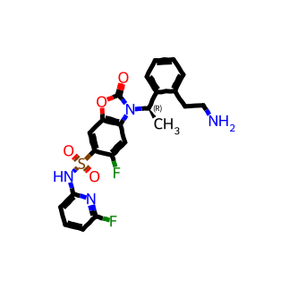 C[C@H](c1ccccc1CCN)n1c(=O)oc2cc(S(=O)(=O)Nc3cccc(F)n3)c(F)cc21